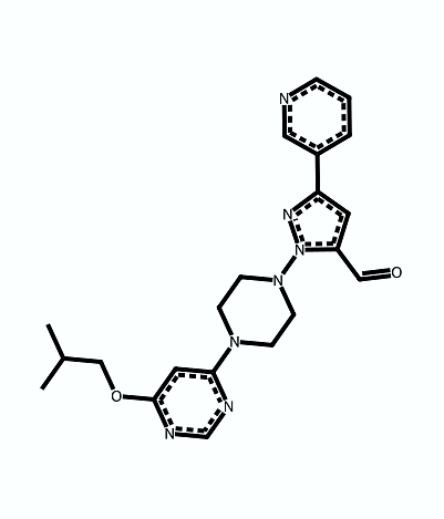 CC(C)COc1cc(N2CCN(n3nc(-c4cccnc4)cc3C=O)CC2)ncn1